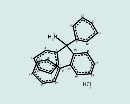 Cl.NC(c1ccccc1)(c1ccccc1)c1ccccc1-c1ccccc1